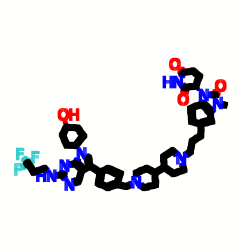 Cn1c(=O)n([C@H]2CCC(=O)NC2=O)c2ccc(CCCN3CCC(C4CCN(Cc5ccc(-c6cn([C@H]7CC[C@H](O)CC7)c7nc(NCCC(F)(F)F)ncc67)cc5)CC4)CC3)cc21